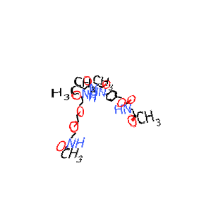 CC(=O)CNC(=O)OCc1ccc(NC(=O)C(C)NC(=O)C(NC(=O)CCOCCOCCNC(C)=O)C(C)C)cc1